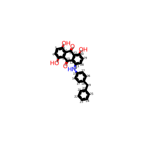 O=C1c2c(O)ccc(O)c2C(=O)c2c(Nc3ccc(Cc4ccccc4)cc3)ccc(O)c21